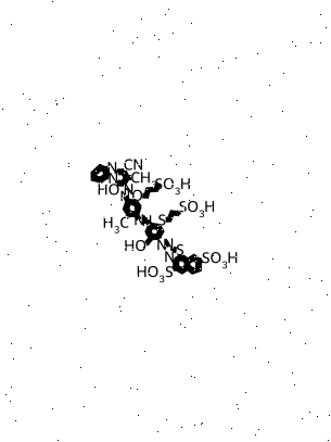 Cc1cc(N=Nc2c(C)c(C#N)c3nc4ccccc4n3c2O)c(OCCCS(=O)(=O)O)cc1N=Nc1cc(CO)c(N=Nc2nc3c(S(=O)(=O)O)cc4ccc(S(=O)(=O)O)cc4c3s2)cc1SCCCS(=O)(=O)O